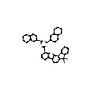 CC1(C)c2ccccc2-c2c1ccc1c2sc2c(-c3nc(-c4ccc5ccccc5c4)nc(-c4ccc5ccccc5c4)n3)cccc21